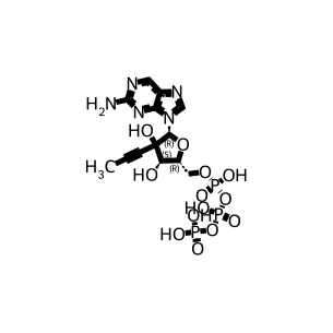 CC#CC1(O)[C@@H](O)[C@@H](COP(=O)(O)OP(=O)(O)OP(=O)(O)O)O[C@H]1n1cnc2cnc(N)nc21